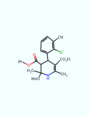 CCOC(=O)C1=C(C)NC(C)(OC)C(C(=O)OC(C)C)C1c1cccc(C#N)c1Cl